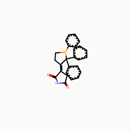 O=C1CC(=C2CCP(c3ccccc3)C2(c2ccccc2)c2ccccc2)C(=O)N1